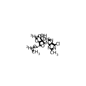 [2H]B(C)OC[C@H]1O[C@@H](n2cnc3c(Cl)nc(C)nc32)[C@@](O)(CO)[C@@H]1OB([2H])C